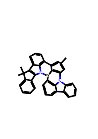 Cc1cc2c3c(c1)-n1c4ccccc4c4cccc(c41)B3n1c3c(c4cccc-2c41)C(C)(C)c1ccccc1-3